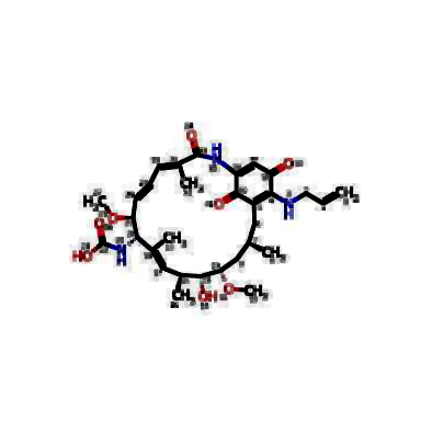 C=CCNC1=C2C[C@@H](C)C[C@H](OC)[C@H](O)[C@@H](C)/C=C(\C)[C@H](NC(=O)O)[C@@H](OC)/C=C/C=C(\C)C(=O)NC(=CC1=O)C2=O